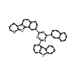 c1ccc2cc(-c3nc(-c4ccc5ccc6c7cccnc7oc6c5c4)nc(-c4cccc5sc6ccccc6c45)n3)ccc2c1